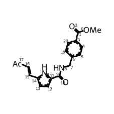 COC(=O)c1ccc(CNC(=O)c2ccc(C=CC(C)=O)[nH]2)cc1